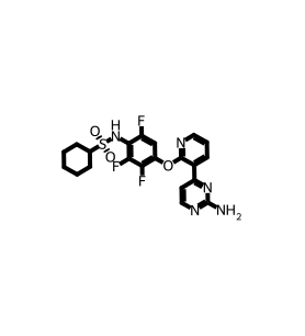 Nc1nccc(-c2cccnc2Oc2cc(F)c(NS(=O)(=O)C3CCCCC3)c(F)c2F)n1